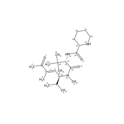 CC(=O)/C(C)=C/[C@H](C(C)C)N(C)C(=O)[C@@H](NC(=O)C1CCCCN1)C(C)(C)C